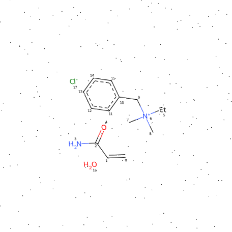 C=CC(N)=O.CC[N+](C)(C)Cc1ccccc1.O.[Cl-]